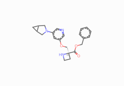 O=C(OCc1ccccc1)[C@@]1(COc2cncc(N3CC4CC4C3)c2)CCN1